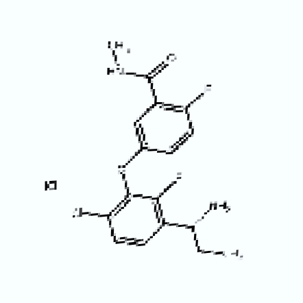 CC[C@@H](N)c1ccc(Cl)c(Oc2ccc(F)c(C(=O)NC)c2)c1F.Cl